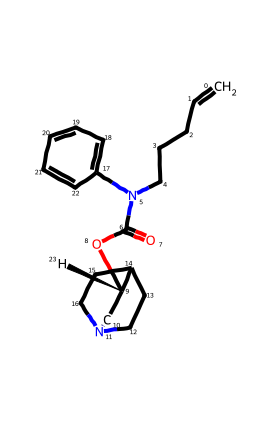 C=CCCCN(C(=O)O[C@H]1CN2CCC1CC2)c1ccccc1